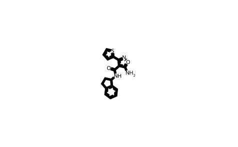 Nc1onc(-c2cccs2)c1C(=O)NC1CCc2ccccc21